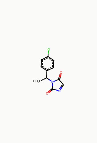 O=C(O)C(c1ccc(Cl)cc1)N1C(=O)C=NC1=O